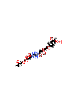 C=C(C)C(=O)CCOCOC(=O)CC(=O)NCCNC(=O)CC(=O)OCCOc1ccc(C(=O)C(C)(C)O)cc1